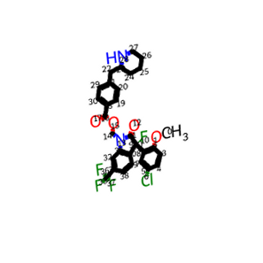 COc1ccc(Cl)cc1[C@]1(F)C(=O)N(COC(=O)c2ccc(CC3CCCCN3)cc2)c2cc(C(F)(F)F)ccc21